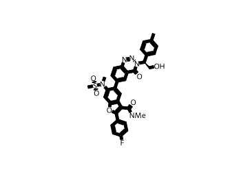 CNC(=O)c1c(-c2ccc(F)cc2)oc2cc(N(C)S(C)(=O)=O)c(-c3ccc4nnn([C@H](CO)c5ccc(C)cc5)c(=O)c4c3)cc12